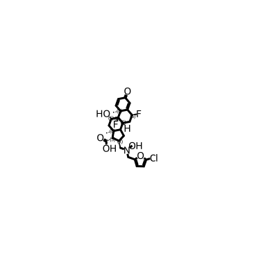 C[C@]12C[C@H](O)[C@@]3(F)[C@@H](C[C@H](F)C4=CC(=O)C=C[C@@]43C)C1C[C@@H](CN(O)Cc1ccc(Cl)o1)[C@@H]2C(=O)O